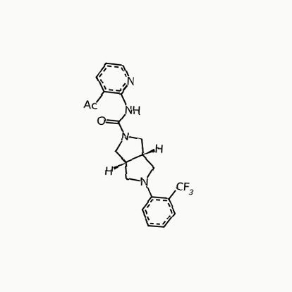 CC(=O)c1cccnc1NC(=O)N1C[C@@H]2CN(c3ccccc3C(F)(F)F)C[C@@H]2C1